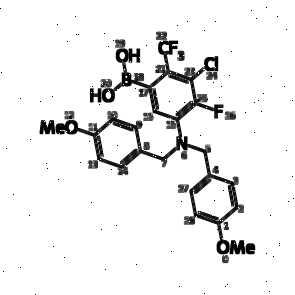 COc1ccc(CN(Cc2ccc(OC)cc2)c2cc(B(O)O)c(C(F)(F)F)c(Cl)c2F)cc1